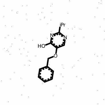 CC(C)c1ncc(OCc2ccccc2)c(O)n1